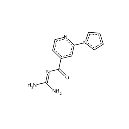 NC(N)=NC(=O)c1ccnc(-n2cccc2)c1